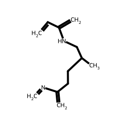 C=CC(=C)NCC(C)CCC(=C)N=C